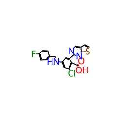 O=C(O)c1c(Cl)cc(NCc2ccc(F)cc2)cc1-c1ncc2ccsc2n1